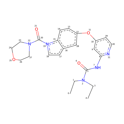 CCN(CC)C(=O)Nc1cc(Oc2ccc3c(ccn3C(=O)N3CCOCC3)c2)ccn1